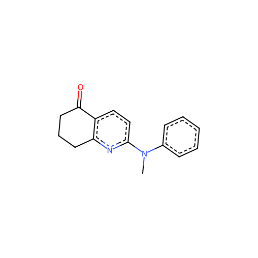 CN(c1ccccc1)c1ccc2c(n1)CCCC2=O